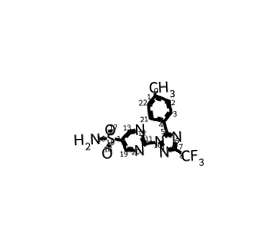 Cc1ccc(-c2nc(C(F)(F)F)nn2-c2ncc(S(N)(=O)=O)cn2)cc1